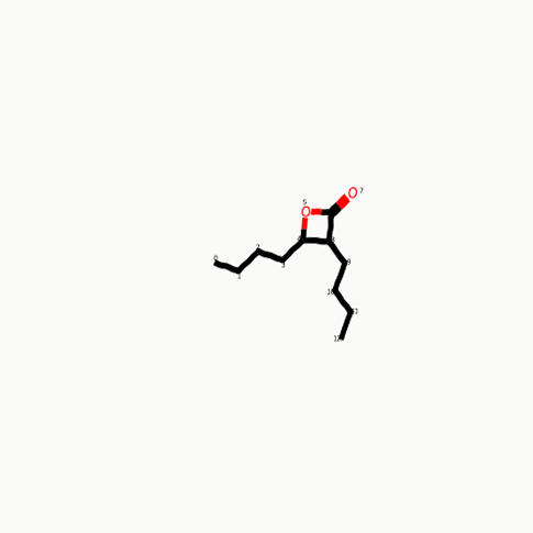 CCCCC1OC(=O)C1CCCC